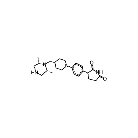 C[C@@H]1CNC[C@H](C)N1CC1CCN(c2ccc(C3CCC(=O)NC3=O)cc2)CC1